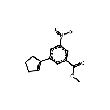 COC(=O)c1cc(C2=CCCC2)cc([N+](=O)[O-])c1